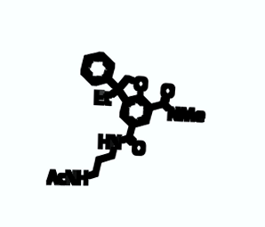 CCC1(c2ccccc2)COc2c(C(=O)NC)cc(C(=O)NCCCNC(C)=O)cc21